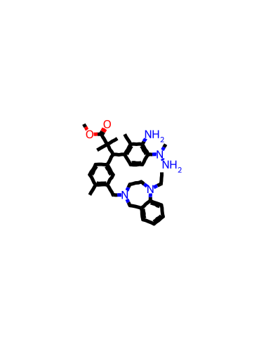 CCN1CCN(Cc2cc(C(c3ccc(N(C)N)c(N)c3C)C(C)(C)C(=O)OC)ccc2C)Cc2ccccc21